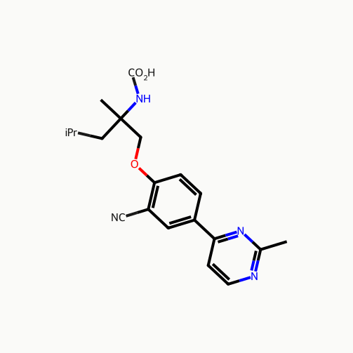 Cc1nccc(-c2ccc(OCC(C)(CC(C)C)NC(=O)O)c(C#N)c2)n1